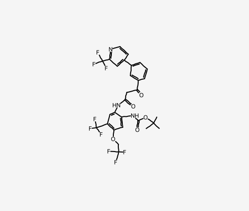 CC(C)(C)OC(=O)Nc1cc(OCC(F)(F)F)c(C(F)(F)F)cc1NC(=O)CC(=O)c1cccc(-c2ccnc(C(F)(F)F)c2)c1